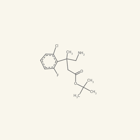 CC(C)(C)OC(=O)CC(C)(CN)c1c(F)cccc1Cl